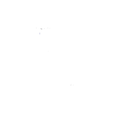 CCCCCCCCCCCCCCCCCCCCCCCCCCCCCCC(=O)OCCCCCCCC/C=C\C[C@H](O)CCCCCC